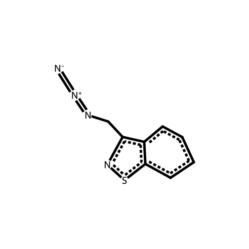 [N-]=[N+]=NCc1nsc2ccccc12